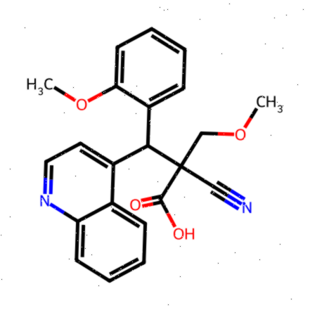 COCC(C#N)(C(=O)O)C(c1ccccc1OC)c1ccnc2ccccc12